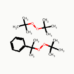 CC(C)(C)OOC(C)(C)C.CC(C)(C)OOC(C)(C)c1ccccc1